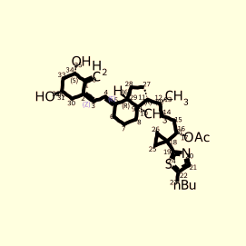 C=C1/C(=C\C=C2/CCC[C@]3(C)[C@@H]([C@H](C)CC[C@H](OC(C)=O)C4(c5ncc(CCCC)s5)CC4)CC[C@@H]23)C[C@@H](O)C[C@@H]1O